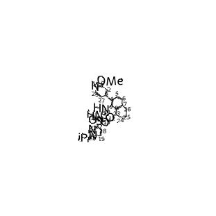 COc1cc(-c2ccc3c(c2NC(=O)NS(=O)(=O)c2ccn(C(C)C)n2)CCCC3)ccn1